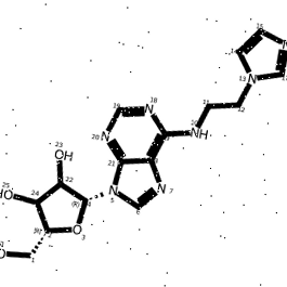 OC[C@H]1O[C@@H](n2cnc3c(NCCn4ccnc4)ncnc32)C(O)C1O